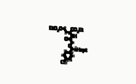 CCCCCCCC(OCC(=O)N[C@@H](CCC(=O)OCC)C(=O)OCC)c1ccc(Cl)cc1